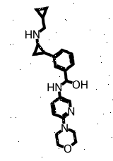 OC(Nc1ccc(N2CCOCC2)nc1)c1cccc(C2CC2NCC2CC2)c1